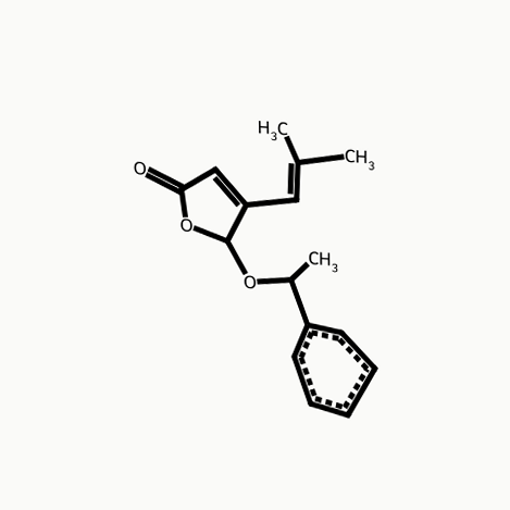 CC(C)=CC1=CC(=O)OC1OC(C)c1ccccc1